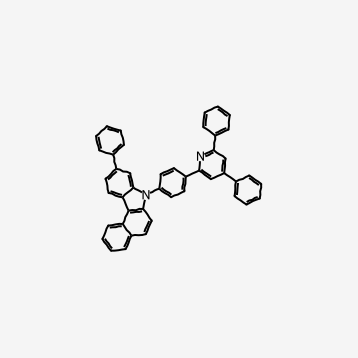 c1ccc(-c2cc(-c3ccccc3)nc(-c3ccc(-n4c5cc(-c6ccccc6)ccc5c5c6ccccc6ccc54)cc3)c2)cc1